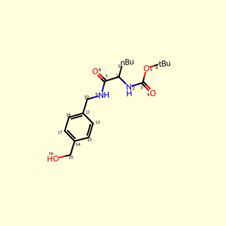 CCCCC(NC(=O)OC(C)(C)C)C(=O)NCc1ccc(CO)cc1